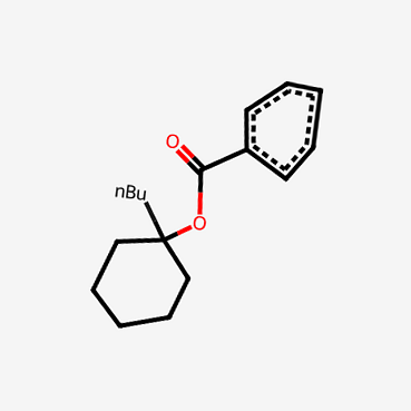 CCCCC1(OC(=O)c2ccccc2)CCCCC1